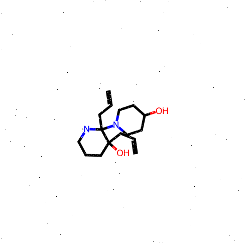 C=CCC1(O)CCC[N]C1(CC=C)N1CCC(O)CC1